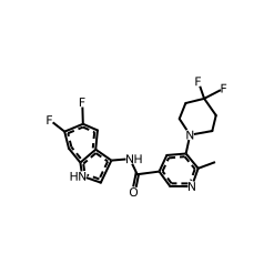 Cc1ncc(C(=O)Nc2c[nH]c3cc(F)c(F)cc23)cc1N1CCC(F)(F)CC1